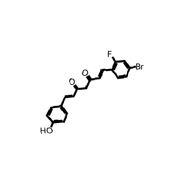 O=C(/C=C/c1ccc(O)cc1)CC(=O)/C=C/c1ccc(Br)cc1F